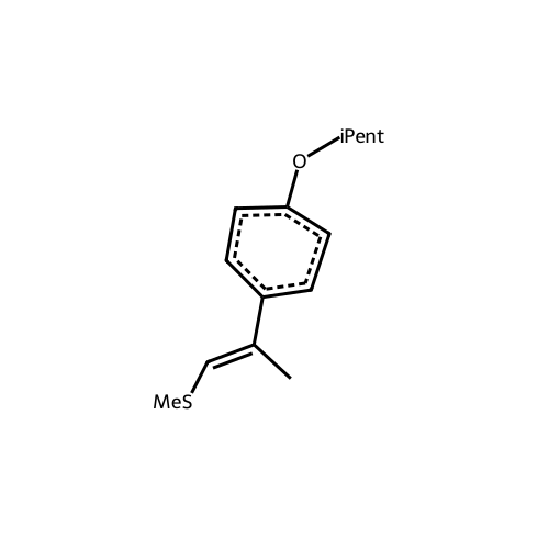 CCCC(C)Oc1ccc(/C(C)=C/SC)cc1